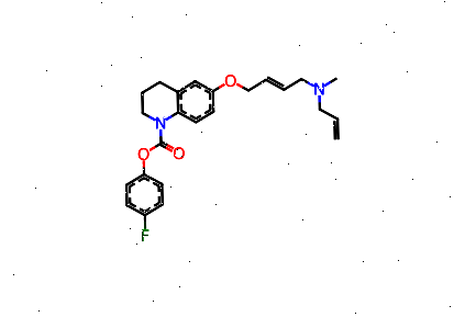 C=CCN(C)CC=CCOc1ccc2c(c1)CCCN2C(=O)Oc1ccc(F)cc1